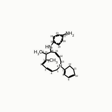 C/C1=C\C=C/CN(C2=CC=CCC2)C/C=C\C(Nc2ccc(N)cc2)C1C